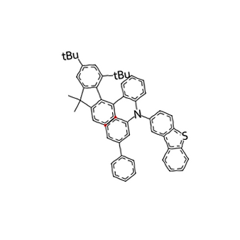 CC(C)(C)c1cc(C(C)(C)C)c2c(c1)C(C)(C)c1cccc(-c3ccccc3N(c3cccc(-c4ccccc4)c3)c3ccc4sc5ccccc5c4c3)c1-2